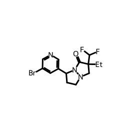 CCC1(C(F)F)CN2CCC(c3cncc(Br)c3)N2C1=O